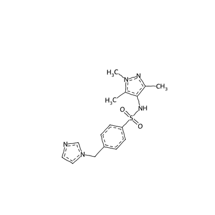 Cc1nn(C)c(C)c1NS(=O)(=O)c1ccc(Cn2ccnc2)cc1